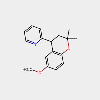 CC1(C)CC(c2ccccn2)c2cc(OC(=O)O)ccc2O1